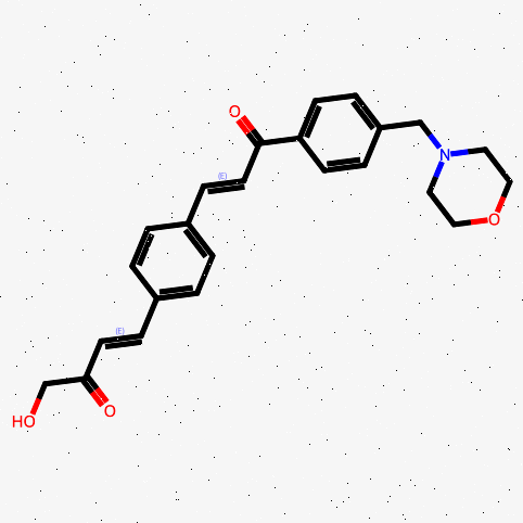 O=C(/C=C/c1ccc(/C=C/C(=O)c2ccc(CN3CCOCC3)cc2)cc1)CO